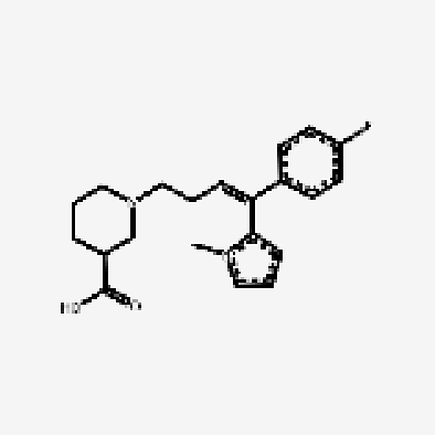 Cn1cccc1/C(=C\CCN1CCCC(C(=O)O)C1)c1ccc(F)cc1